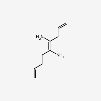 C=CCCC(N)=C(N)CC=C